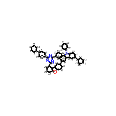 c1ccc(-c2ccc(-c3nc(-c4ccccc4)nc(-c4cccc5oc6ccc(-c7ccc8c(c7)c7cc(-c9ccccc9)ccc7n8-c7ccccc7)cc6c45)n3)cc2)cc1